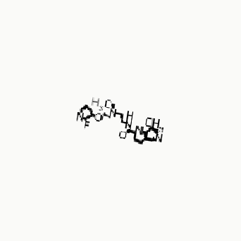 CCN(CCNC(=O)c1ccc2cncc(C)c2n1)CCOc1cccnc1F